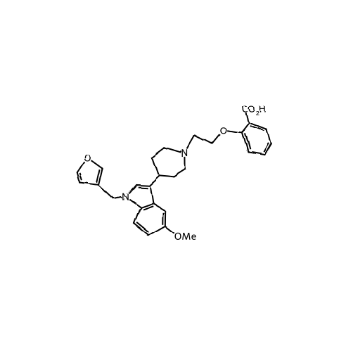 COc1ccc2c(c1)c(C1CCN(CCOc3ccccc3C(=O)O)CC1)cn2Cc1ccoc1